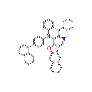 c1ccc(N(c2ccc(-c3cccc4ccccc34)cc2)c2cncc3c2oc2cc4ccccc4cc23)c(-c2cccc3ccccc23)c1